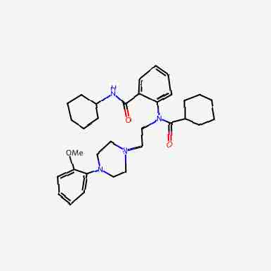 COc1ccccc1N1CCN(CCN(C(=O)C2CCCCC2)c2ccccc2C(=O)NC2CCCCC2)CC1